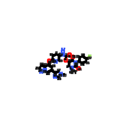 CC(C)n1cc(OC(=O)Nc2ccc(Oc3cc(-c4cn(C)cn4)cn4nccc34)nc2)c(=O)n(-c2ccc(F)cc2)c1=O